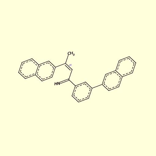 C/C(=C/C(=N)c1cccc(-c2ccc3ccccc3c2)c1)c1ccc2ccccc2c1